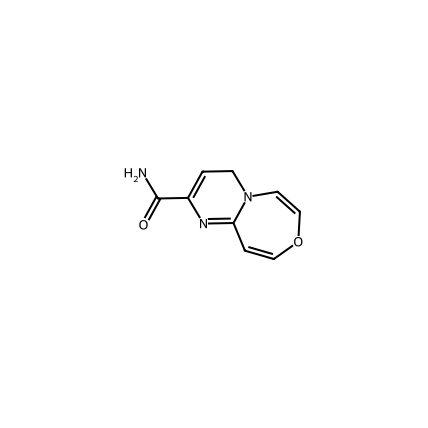 NC(=O)C1=CCN2C=COC=CC2=N1